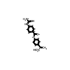 C[C@H](C(=O)O)c1ccc(OC(=O)c2ccc(NC(=N)N)cc2)cc1